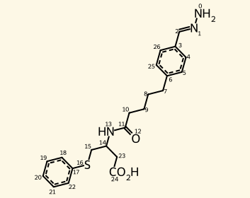 NN=Cc1ccc(CCCCC(=O)NC(CSc2ccccc2)CC(=O)O)cc1